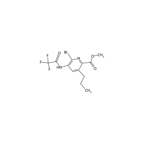 CCCc1cc(NC(=O)C(F)(F)F)c(Br)nc1C(=O)OC